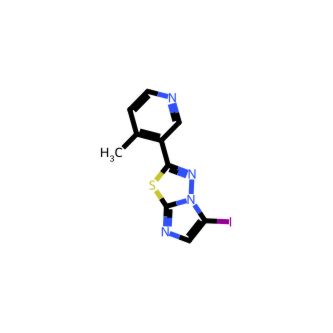 Cc1ccncc1-c1nn2c(I)cnc2s1